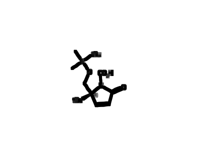 CC(C)(C)[C@]1(CO[Si](C)(C)C(C)(C)C)C=CC(=O)N1C(=O)O